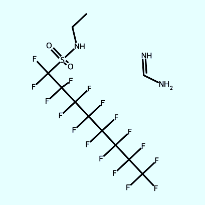 CCNS(=O)(=O)C(F)(F)C(F)(F)C(F)(F)C(F)(F)C(F)(F)C(F)(F)C(F)(F)C(F)(F)F.N=CN